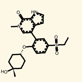 CCS(=O)(=O)c1ccc(O[C@H]2CC[C@@](C)(O)CC2)c(-c2cn(C)c(=O)c3[nH]ccc23)c1